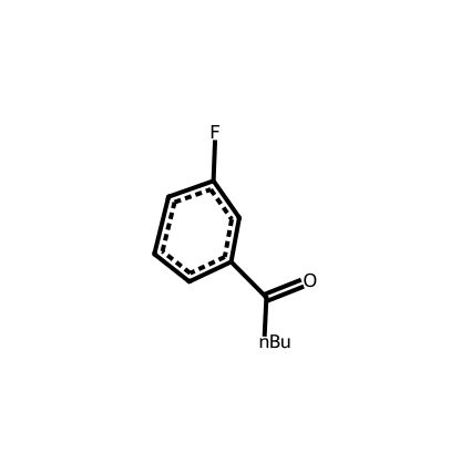 [CH2]CCCC(=O)c1cccc(F)c1